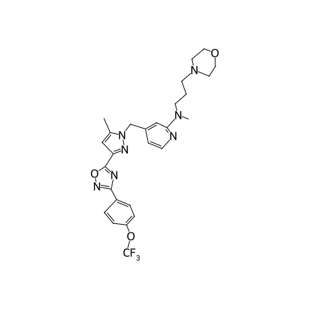 Cc1cc(-c2nc(-c3ccc(OC(F)(F)F)cc3)no2)nn1Cc1ccnc(N(C)CCCN2CCOCC2)c1